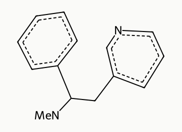 CNC(Cc1cccnc1)c1ccccc1